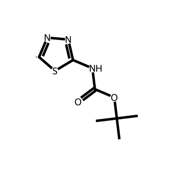 CC(C)(C)OC(=O)Nc1nn[c]s1